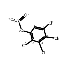 O=[SH](=O)Oc1cc(Cl)c(Cl)c(Cl)c1Cl